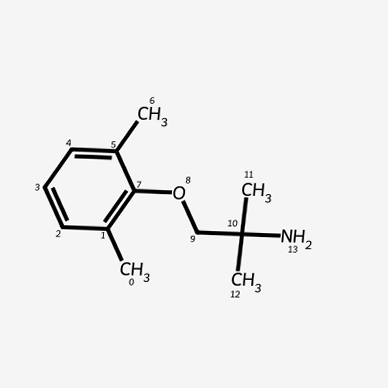 Cc1cccc(C)c1OCC(C)(C)N